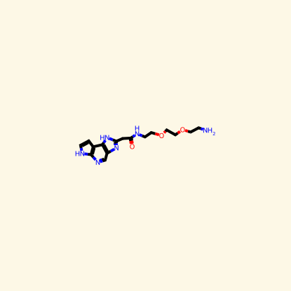 NCCOCCOCCNC(=O)Cc1nc2cnc3[nH]ccc3c2[nH]1